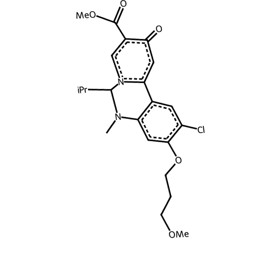 COCCCOc1cc2c(cc1Cl)-c1cc(=O)c(C(=O)OC)cn1C(C(C)C)N2C